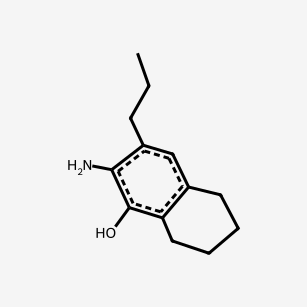 CCCc1cc2c(c(O)c1N)CCCC2